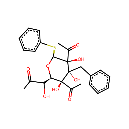 CC(=O)C(O)[C@H]1O[C@@H](Sc2ccccc2)[C@](O)(C(C)=O)[C@@](O)(Cc2ccccc2)[C@]1(O)C(C)=O